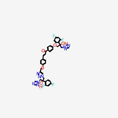 O=C(/C=C/c1ccc(OCc2cn(CC(O)(Cn3cncn3)c3ccc(F)cc3F)nn2)cc1)c1ccc(OCC(O)(Cn2cncn2)c2ccc(F)cc2F)cc1